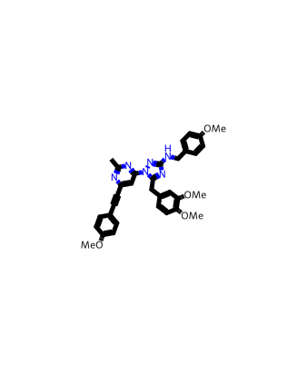 COc1ccc(C#Cc2cc(-n3nc(NCc4ccc(OC)cc4)nc3Cc3ccc(OC)c(OC)c3)nc(C)n2)cc1